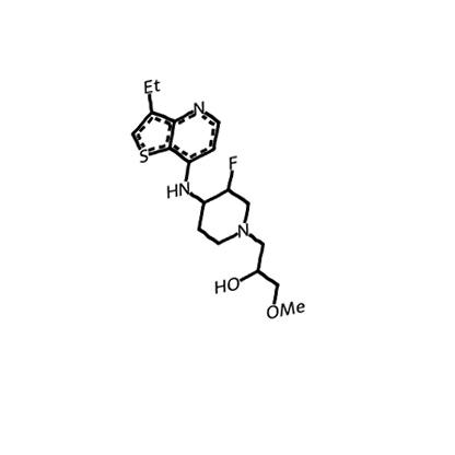 CCc1csc2c(NC3CCN(CC(O)COC)CC3F)ccnc12